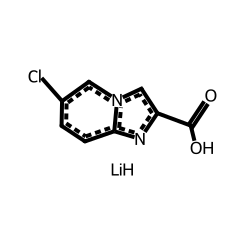 O=C(O)c1cn2cc(Cl)ccc2n1.[LiH]